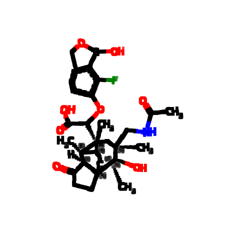 CC(=O)NC[C@]1(C)C[C@@H](C(Oc2ccc3c(c2F)B(O)OC3)C(=O)O)[C@@]2(C)[C@H](C)CC[C@]3(CCC(=O)[C@H]32)[C@@H](C)[C@@H]1O